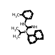 Cc1ccccc1NC(=N)N(c1cccc2ccccc12)C(C)C